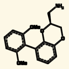 COc1cccc(OC)c1-c1cccc2c1O[C@@H](CN)CO2